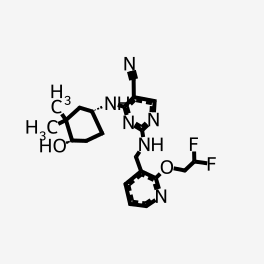 CC1(C)C[C@H](Nc2nc(NCc3cccnc3OCC(F)F)ncc2C#N)CC[C@@H]1O